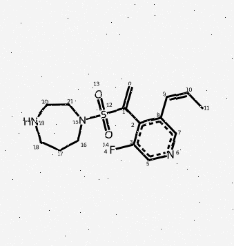 C=C(c1c(F)cncc1/C=C\C)S(=O)(=O)N1CCCNCC1